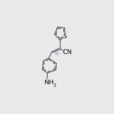 N#C/C(=C\c1ccc(N)cc1)c1cccs1